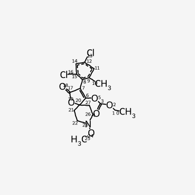 CCOC(=O)OC1=C(c2c(C)cc(Cl)cc2Cl)C(=O)OC12CCN(OC)CC2